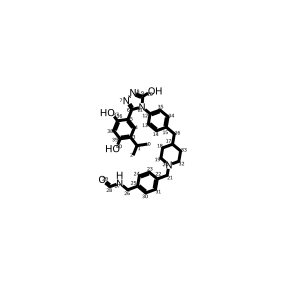 CC(C)c1cc(-c2nnc(O)n2-c2ccc(CC3CCN(Cc4ccc(CNC=O)cc4)CC3)cc2)c(O)cc1O